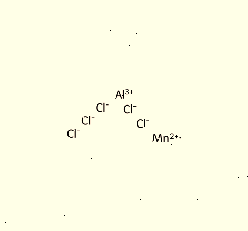 [Al+3].[Cl-].[Cl-].[Cl-].[Cl-].[Cl-].[Mn+2]